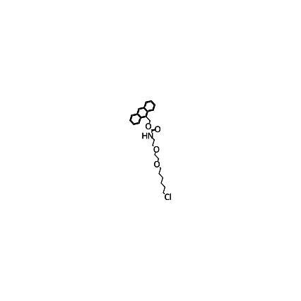 O=C(NCCOCCOCCCCCCCl)OCc1c2ccccc2cc2ccccc12